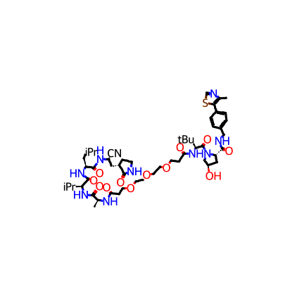 Cc1ncsc1-c1ccc(CNC(=O)[C@@H]2C[C@@H](O)CN2C(=O)[C@@H](NC(=O)CCOCCOCCOCCC(=O)N[C@@H](C)C(=O)N[C@H](C(=O)N[C@@H](CC(C)C)C(=O)N[C@H](C#N)C[C@@H]2CCNC2=O)C(C)C)C(C)(C)C)cc1